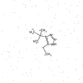 CCc1[nH]nnc1C(C)(C)C